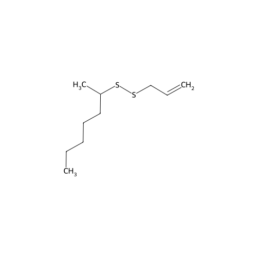 C=CCSSC(C)CCCCC